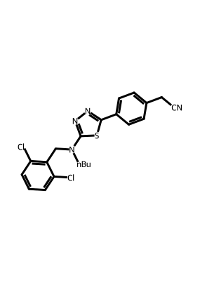 CCCCN(Cc1c(Cl)cccc1Cl)c1nnc(-c2ccc(CC#N)cc2)s1